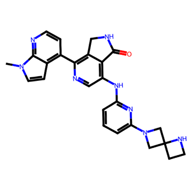 Cn1ccc2c(-c3ncc(Nc4cccc(N5CC6(CCN6)C5)n4)c4c3CNC4=O)ccnc21